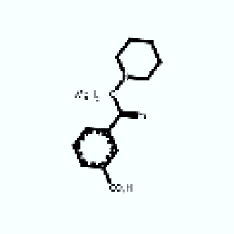 O=C(O)c1cccc(C(=O)ON2CCCCC2)c1.[MgH2]